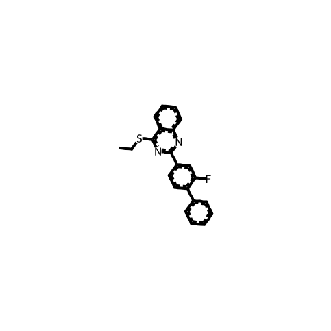 CCSc1nc(-c2ccc(-c3ccccc3)c(F)c2)nc2ccccc12